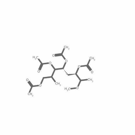 COC(C)[C@@H](C[C@@H](OC(C)=O)C(OC(C)=O)C(C)COC(C)=O)OC(C)=O